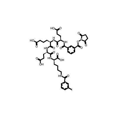 O=C(O)CCC[C@@H](NC(=O)[C@@H](CCC(=O)O)NC(=O)c1cccc(C(=O)ON2C(=O)CCC2=O)c1)C(=O)N[C@H](CCC(=O)O)C(=O)N[C@H](CCCCNC(=O)c1cccc(I)c1)C(=O)O